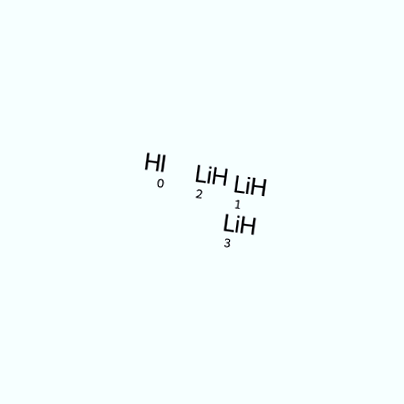 I.[LiH].[LiH].[LiH]